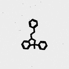 CC1(c2ccccc2)CC(CCc2ccccc2)c2ccccc21